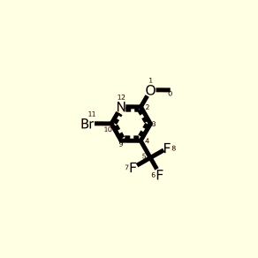 COc1cc(C(F)(F)F)cc(Br)n1